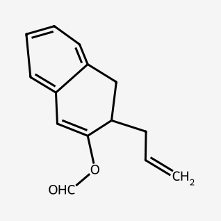 C=CCC1Cc2ccccc2C=C1OC=O